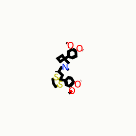 COc1ccc(C2(CN(C)C[C@H](C)CC3(c4ccc(OC)c(OC)c4)SCCCS3)CCC2)cc1OC